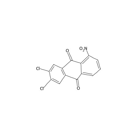 O=C1c2cc(Cl)c(Cl)cc2C(=O)c2c1cccc2[N+](=O)[O-]